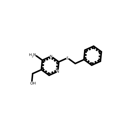 Nc1nc(SCc2ccccc2)ncc1CO